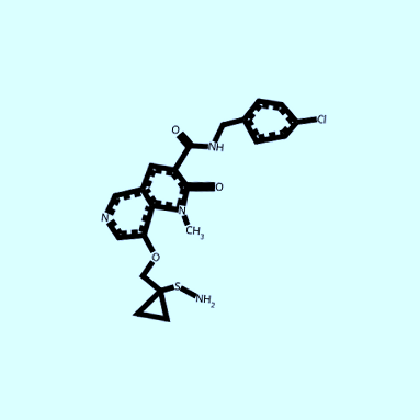 Cn1c(=O)c(C(=O)NCc2ccc(Cl)cc2)cc2cncc(OCC3(SN)CC3)c21